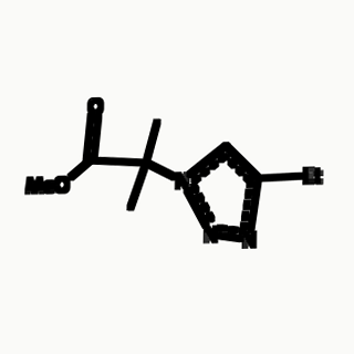 CCc1cn(C(C)(C)C(=O)OC)nn1